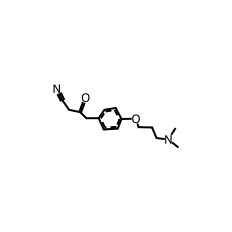 CN(C)CCCOc1ccc(CC(=O)CC#N)cc1